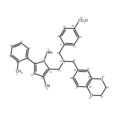 CCCCn1c(-c2ccccc2C)nc(C#N)c1CN(Cc1ccc(C(=O)O)cc1)Cc1ccc2c(c1)OCCO2